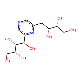 OC[C@@H](O)[C@H](O)[C@H](O)c1cncc(C[C@@H](O)[C@H](O)CO)n1